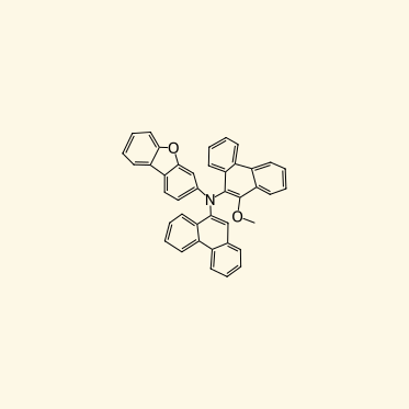 COc1c(N(c2ccc3c(c2)oc2ccccc23)c2cc3ccccc3c3ccccc23)c2ccccc2c2ccccc12